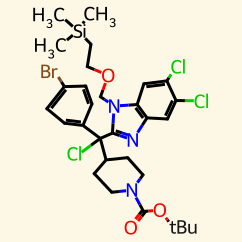 CC(C)(C)OC(=O)N1CCC(C(Cl)(c2ccc(Br)cc2)c2nc3cc(Cl)c(Cl)cc3n2COCC[Si](C)(C)C)CC1